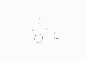 C=CC(=O)OCC[N+](CC)(CC)CC.Cc1ccc(S(=O)(=O)[O-])cc1